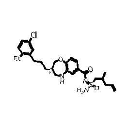 C=CCC(C)CS(N)(=O)=NC(=O)c1ccc2c(c1)NC[C@@H](CCCc1cc(Cl)ccc1CC)CO2